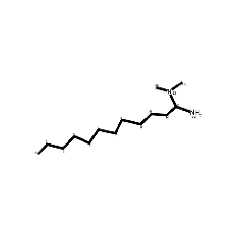 CCCCCCCCCCCC(N)N(C)C